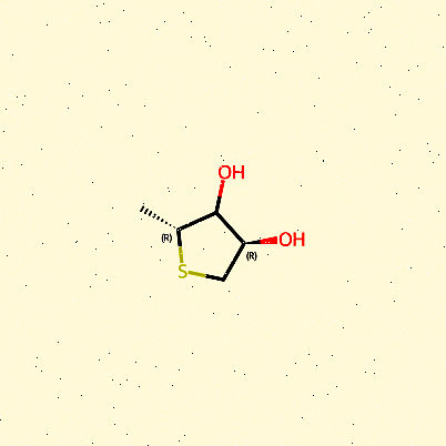 C[C@H]1SC[C@H](O)C1O